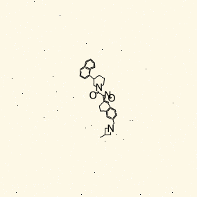 CC1CN(Cc2ccc3c(c2)CCc2c(C(=O)N4CCCC(c5cccc6ccccc56)C4)noc2-3)C1